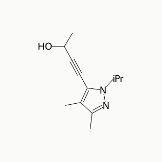 Cc1nn(C(C)C)c(C#CC(C)O)c1C